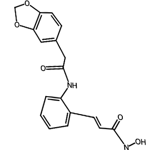 O=C(/C=C/c1ccccc1NC(=O)Cc1ccc2c(c1)OCO2)NO